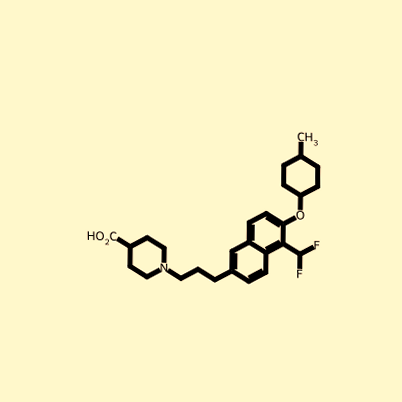 CC1CCC(Oc2ccc3cc(CCCN4CCC(C(=O)O)CC4)ccc3c2C(F)F)CC1